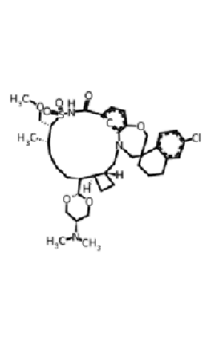 COC[C@H]1[C@@H](C)CCC[C@H]([C@H]2OC[C@H](N(C)C)CO2)[C@@H]2CC[C@H]2CN2C[C@@]3(CCCc4cc(Cl)ccc43)COc3ccc(cc32)C(=O)NS1(=O)=O